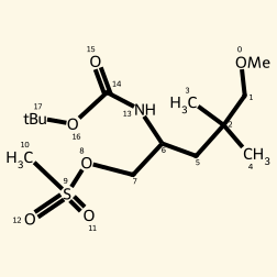 COCC(C)(C)CC(COS(C)(=O)=O)NC(=O)OC(C)(C)C